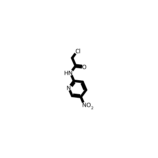 O=C(CCl)Nc1ccc([N+](=O)[O-])cn1